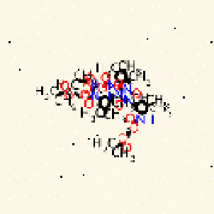 C=C(C)C(=O)OCCOC(=O)NC1CC(C)(C)CC(C)(Cn2c(=O)n(CC3(C)CC(NC(=O)OCCOC(=O)C(=C)C)CC(C)(C)C3)c(=O)n(CC3(C)CC(NC(=O)OCCOC(=O)C(=C)C)CC(C)(C)C3)c2=O)C1